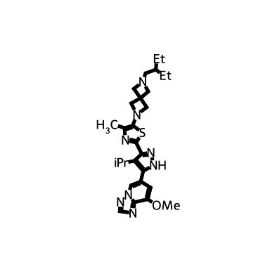 CCC(CC)CN1CC2(C1)CN(c1sc(-c3n[nH]c(-c4cc(OC)c5ncnn5c4)c3C(C)C)nc1C)C2